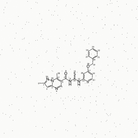 Cc1cc2ncc(C(=O)NC(=S)Nc3cccc(OCc4ccccc4)c3)c(C)n2n1